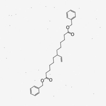 C=CC(CCCCCC(=O)OCc1ccccc1)CCCCCC(=O)OCc1ccccc1